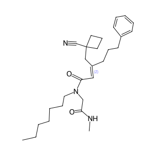 CCCCCCCN(CC(=O)NC)C(=O)/C=C(/CCCc1ccccc1)CC1(C#N)CCC1